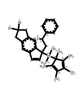 CCC1(CC)Cc2cc3c(cc2C1)[C](CC(C)c1ccccc1)([Hf]([CH3])([CH3])[C]1(C)C(C)=C(C)C(C)=C1C)C=C3